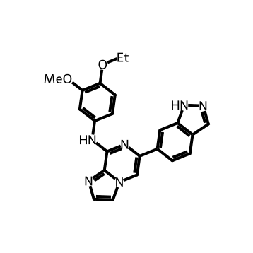 CCOc1ccc(Nc2nc(-c3ccc4cn[nH]c4c3)cn3ccnc23)cc1OC